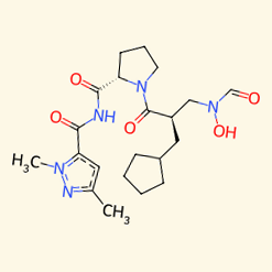 Cc1cc(C(=O)NC(=O)[C@@H]2CCCN2C(=O)[C@H](CC2CCCC2)CN(O)C=O)n(C)n1